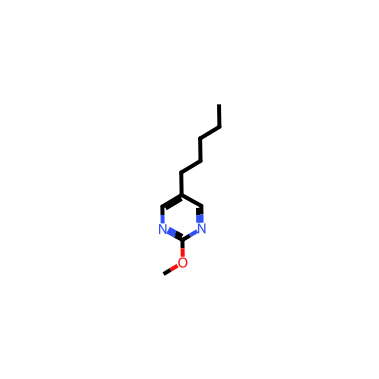 CCCCCc1cnc(OC)nc1